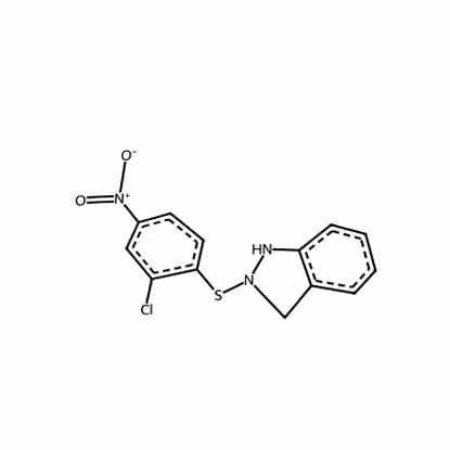 O=[N+]([O-])c1ccc(SN2Cc3ccccc3N2)c(Cl)c1